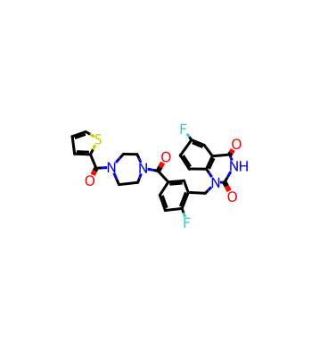 O=C(c1ccc(F)c(Cn2c(=O)[nH]c(=O)c3cc(F)ccc32)c1)N1CCN(C(=O)c2cccs2)CC1